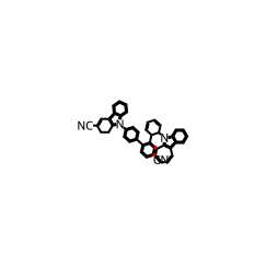 N#CC1=Cc2c(n(-c3ccc(-c4ccc(C#N)cc4C4C=CC=CC4n4c5c(c6ccccc64)C=CC=CC5)cc3)c3ccccc23)CC1